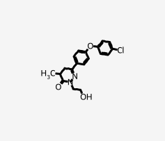 CC1CC(c2ccc(Oc3ccc(Cl)cc3)cc2)=NN(CCO)C1=O